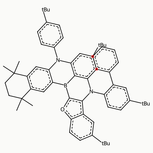 CC(C)(C)c1ccc(N2c3cc4c(cc3B3c5oc6ccc(C(C)(C)C)cc6c5N(c5ccc(C(C)(C)C)cc5-c5ccccc5)c5cc(C(C)(C)C)cc2c53)C(C)(C)CCC4(C)C)cc1